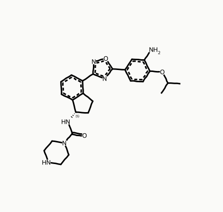 CC(C)Oc1ccc(-c2nc(-c3cccc4c3CC[C@@H]4NC(=O)N3CCNCC3)no2)cc1N